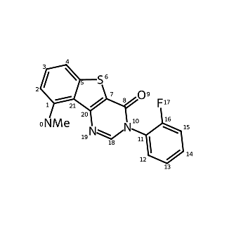 CNc1cccc2sc3c(=O)n(-c4ccccc4F)cnc3c12